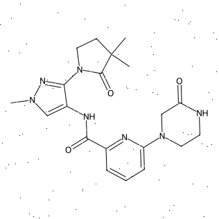 Cn1cc(NC(=O)c2cccc(N3CCNC(=O)C3)n2)c(N2CCC(C)(C)C2=O)n1